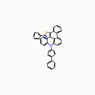 c1ccc(-c2ccc(N(c3ccccc3)c3cccc4c5ccccc5c5sc(-c6ccccc6)nc5c34)cc2)cc1